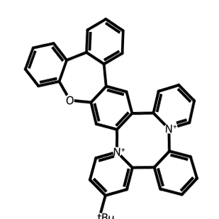 CC(C)(C)c1cc[n+]2c(c1)c1ccccc1[n+]1ccccc1c1cc3c(cc12)oc1ccccc1c1ccccc31